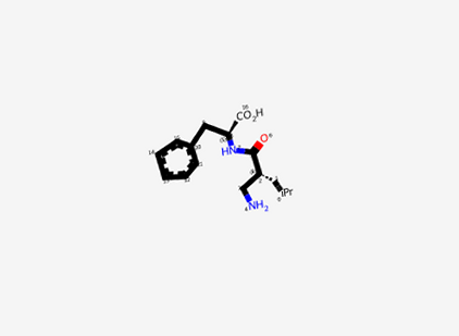 CC(C)C[C@H](CN)C(=O)N[C@@H](Cc1ccccc1)C(=O)O